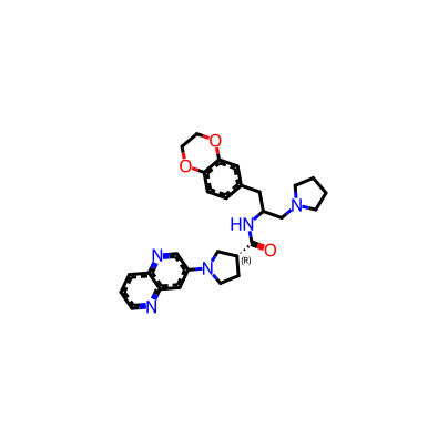 O=C(NC(Cc1ccc2c(c1)OCCO2)CN1CCCC1)[C@@H]1CCN(c2cnc3cccnc3c2)C1